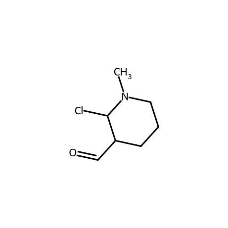 CN1CCCC(C=O)C1Cl